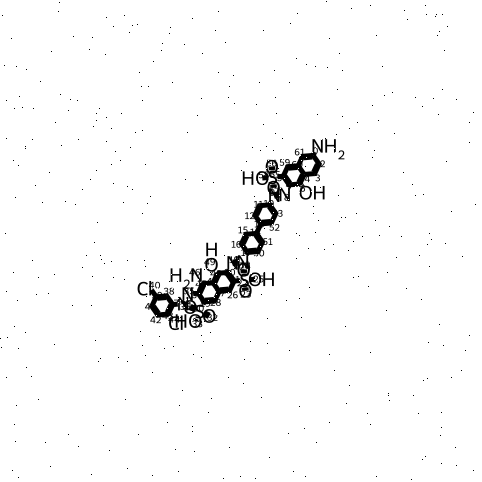 Nc1ccc2c(O)c(/N=N/c3ccc(-c4ccc(/N=N/c5c(S(=O)(=O)O)cc6cc(S(=O)(=O)O)c(/N=N/c7cc(Cl)ccc7Cl)c(N)c6c5O)cc4)cc3)c(S(=O)(=O)O)cc2c1